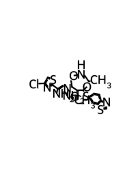 COC1C(Sc2ccc3ncsc3c2)OC(C)CNOC[C@H]1N(N)/C=C(\N)c1nc(Cl)cs1